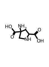 NC1(C(=O)O)CNC(C(=O)O)C1